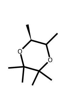 CC1OC(C)(C)C(C)(C)O[C@H]1C